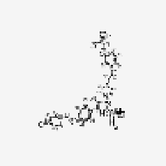 Cl.Cl.Nc1nc2c(c(N3CCN(CCc4cccc(OCC(=O)O)c4)CC3)n1)CCc1cc(OCc3ccc(Cl)cc3)ccc1-2